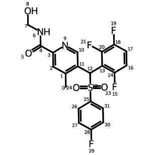 Cc1cc(C(=O)NCO)ncc1C(c1c(F)ccc(F)c1F)S(=O)(=O)c1ccc(F)cc1